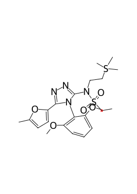 CCS(=O)(=O)N(CCS(C)(C)C)c1nnc(-c2ccc(C)o2)n1-c1c(OC)cccc1OC